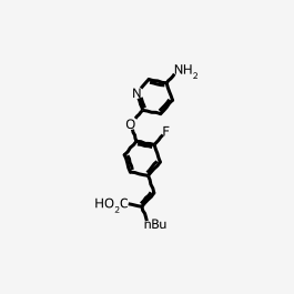 CCCCC(=Cc1ccc(Oc2ccc(N)cn2)c(F)c1)C(=O)O